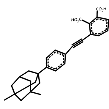 CC12CC3CC(C)(C1)CC(c1ccc(C#Cc4cccc(C(=O)O)c4C(=O)O)cc1)(C3)C2